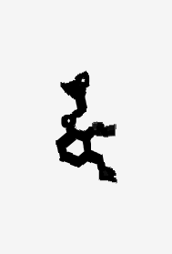 CCC=C1C=CC=C(OCC2CO2)C1C(C)(C)C